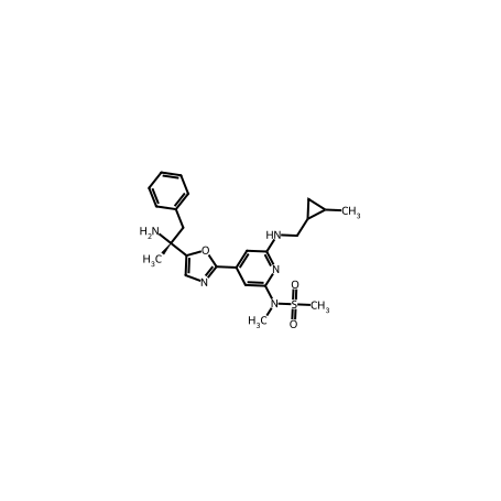 CC1CC1CNc1cc(-c2ncc([C@](C)(N)Cc3ccccc3)o2)cc(N(C)S(C)(=O)=O)n1